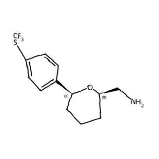 NC[C@H]1CCC[C@@H](c2ccc(SC(F)(F)F)cc2)O1